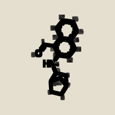 O=Cc1c(NC2CC3CCC2C3)ccc2ccccc12